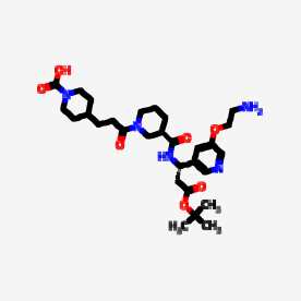 CC(C)(C)OC(=O)C[C@H](NC(=O)[C@@H]1CCCN(C(=O)CCC2CCN(C(=O)O)CC2)C1)c1cncc(OCCN)c1